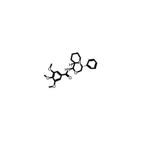 COc1cc(C(=O)NC2OC[C@@H](c3ccccc3)N3CCCC[C@@H]23)cc(OC)c1OC